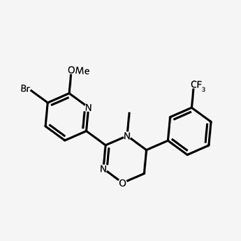 COc1nc(C2=NOCC(c3cccc(C(F)(F)F)c3)N2C)ccc1Br